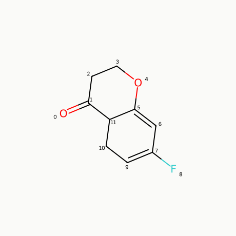 O=C1CCOC2=CC(F)=CCC12